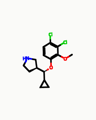 COc1c(O[C@H](C2CC2)[C@H]2CCNC2)ccc(Cl)c1Cl